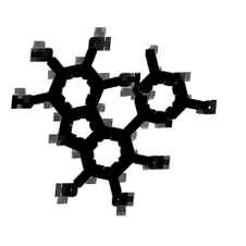 Cc1nc(Cl)nc(-c2c(O)c(O)c(O)c3sc4c(O)c(O)c(O)c(O)c4c23)n1